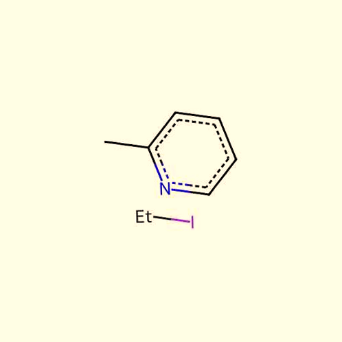 CCI.Cc1ccccn1